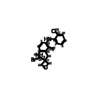 Nc1ccc(Nc2ccccc2Cl)c(F)c1CC1(CBr)COC1